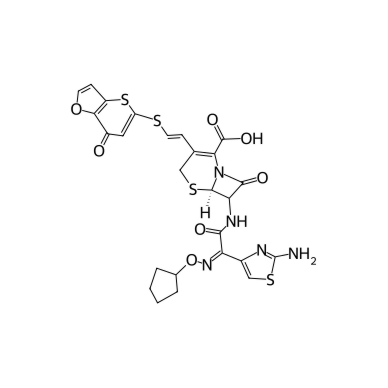 Nc1nc(/C(=N/OC2CCCC2)C(=O)NC2C(=O)N3C(C(=O)O)=C(/C=C/Sc4cc(=O)c5occc5s4)CS[C@H]23)cs1